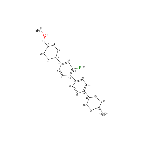 CCCOCC1CCC(c2ccc(-c3ccc(C4CCC(CCC)CC4)cc3)c(F)c2)CC1